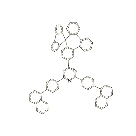 c1ccc2c(c1)-c1ccccc1C1(c3ccc(-c4cc(-c5ccc(-c6cccc7ccccc67)cc5)nc(-c5ccc(-c6cccc7ccccc67)cc5)n4)cc3-2)c2ccccc2-c2ccccc21